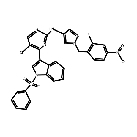 O=[N+]([O-])c1ccc(Cn2cc(Nc3ncc(Cl)c(-c4cn(S(=O)(=O)c5ccccc5)c5ccccc45)n3)cn2)c(F)c1